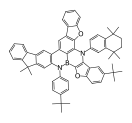 CC(C)(C)c1ccc(N2B3c4oc5ccc(C(C)(C)C)cc5c4N(c4ccc5c(c4)C(C)(C)CCC5(C)C)c4c3c(cc3c4oc4ccccc43)-c3cc4c(cc32)C(C)(C)c2ccccc2-4)cc1